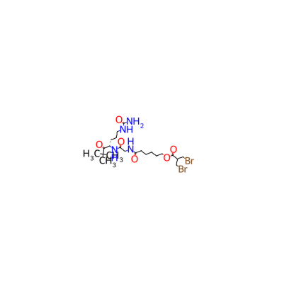 CC(C)(C)C(=O)[C@H](CCCNC(N)=O)NC(=O)CNC(=O)CCCCCOC(=O)C(CBr)CBr